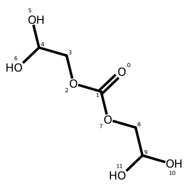 O=C(OCC(O)O)OCC(O)O